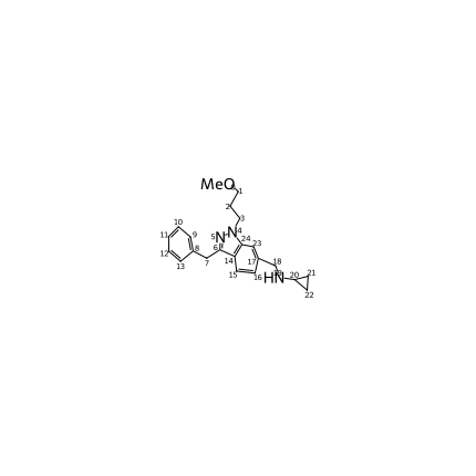 COCCCn1nc(Cc2ccccc2)c2ccc(CNC3CC3)cc21